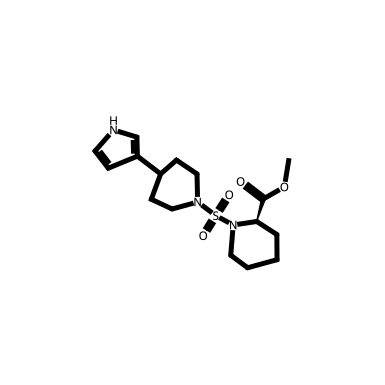 COC(=O)[C@H]1CCCCN1S(=O)(=O)N1CCC(c2cc[nH]c2)CC1